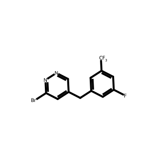 Fc1cc(Cc2cnnc(Br)c2)cc(C(F)(F)F)c1